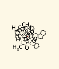 CCC(=O)CC(Cc1ccccc1)C(=O)C(C(=O)C(CC(=O)N1CCOCC1)Cc1cccc2ccccc12)(C(=O)C(C)(C)C)C([C]=O)(Cc1ccccc1)C(=O)C(CC(=O)C(C)(C)C)Cc1ccccc1